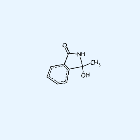 CC1(O)NC(=O)c2ccccc21